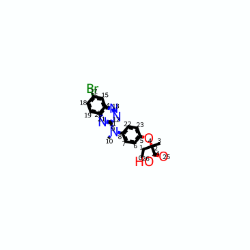 CCC(C)(Oc1ccc(N(C)c2nnc3cc(Br)ccc3n2)cc1)C(=O)O